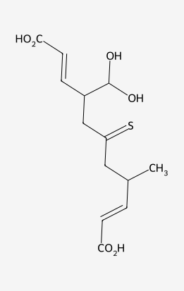 CC(C=CC(=O)O)CC(=S)CC(C=CC(=O)O)C(O)O